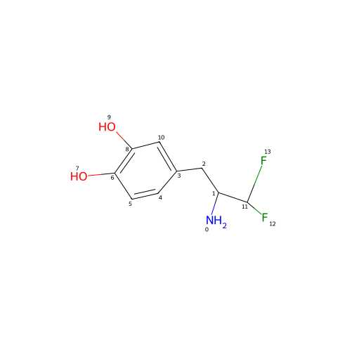 NC(Cc1ccc(O)c(O)c1)C(F)F